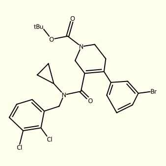 CC(C)(C)OC(=O)N1CCC(c2cccc(Br)c2)=C(C(=O)N(Cc2cccc(Cl)c2Cl)C2CC2)C1